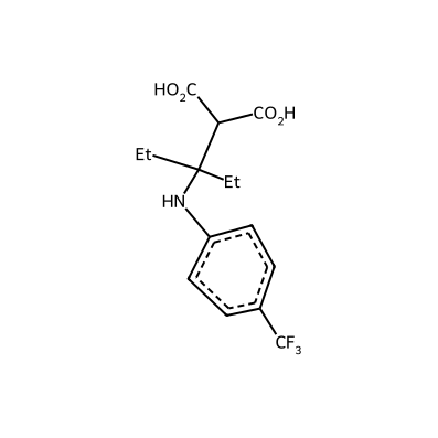 CCC(CC)(Nc1ccc(C(F)(F)F)cc1)C(C(=O)O)C(=O)O